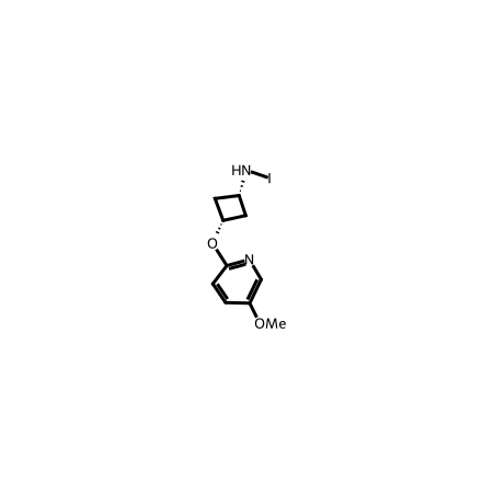 COc1ccc(O[C@H]2C[C@@H](NI)C2)nc1